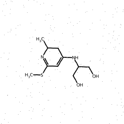 CSC1=NC(C)CC(NC(CO)CO)=C1